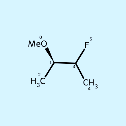 CO[C@H](C)C(C)F